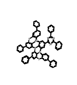 c1ccc(-c2ccc3c(c2)Sc2cc(-c4ccccc4)cc4c2N3c2cc(-c3nc(-c5ccccc5)nc(-c5ccccc5)n3)cc3c2B4c2cc(-c4ccccc4)cc4c2N3c2ccc(-c3ccccc3)cc2S4)cc1